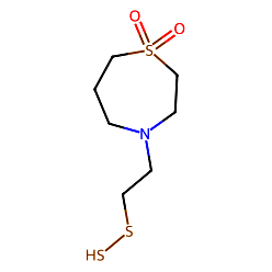 O=S1(=O)CCCN(CCSS)CC1